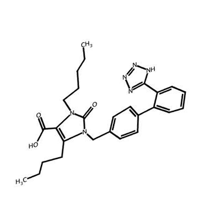 CCCCCn1c(C(=O)O)c(CCCC)n(Cc2ccc(-c3ccccc3-c3nnn[nH]3)cc2)c1=O